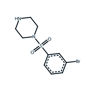 O=S(=O)(c1cccc(Br)c1)N1CCNCC1